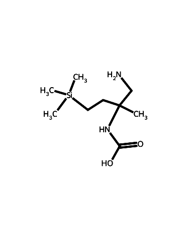 CC(CN)(CC[Si](C)(C)C)NC(=O)O